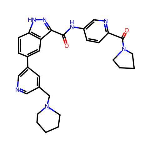 O=C(Nc1ccc(C(=O)N2CCCC2)nc1)c1n[nH]c2ccc(-c3cncc(CN4CCCCC4)c3)cc12